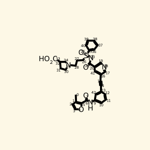 Cc1ccoc1C(=O)Nc1cccc(C#Cc2cncc(C(=O)N=S(=O)(CCCN3CCC(C(=O)O)C3)c3ccccc3)c2)c1